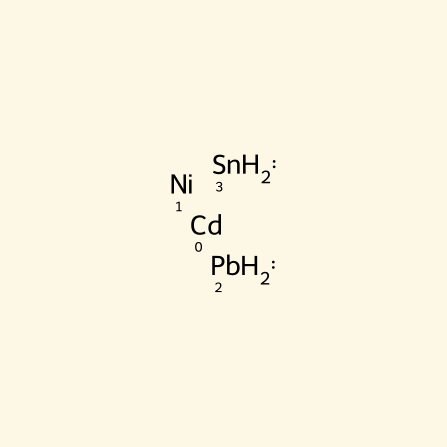 [Cd].[Ni].[PbH2].[SnH2]